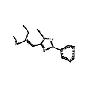 CC/C(=C\C1=NC(c2ccccc2)NN1C)NC